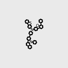 c1ccc(-c2cccc3c2oc2cc(N(c4ccc(-c5ccc6c7ccc8ccccc8c7n(-c7ccccc7)c6c5)cc4)c4ccc5c(c4)sc4ccccc45)ccc23)cc1